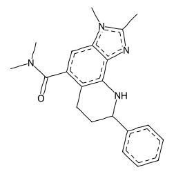 Cc1nc2c3c(c(C(=O)N(C)C)cc2n1C)CCC(c1ccccc1)N3